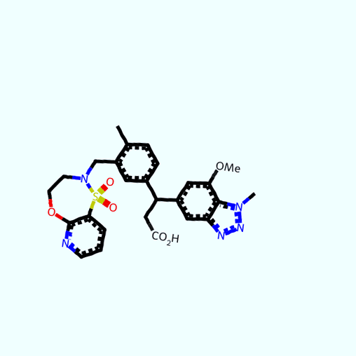 COc1cc(C(CC(=O)O)c2ccc(C)c(CN3CCOc4ncccc4S3(=O)=O)c2)cc2nnn(C)c12